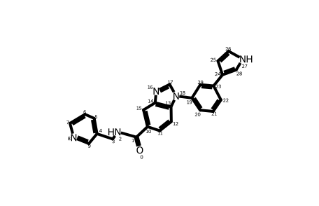 O=C(NCc1cccnc1)c1ccc2c(c1)ncn2-c1cccc(-c2cc[nH]c2)c1